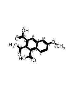 COc1ccc2c(C(=O)O)c(C(C)=O)c(C(=O)O)cc2c1